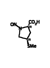 CS[C@@H]1C[C@@H](C(=O)O)N(N=O)C1